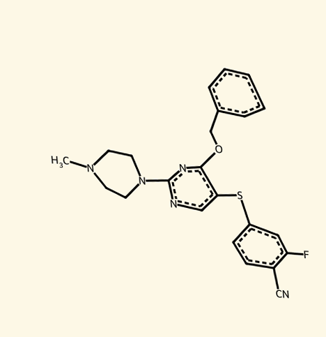 CN1CCN(c2ncc(Sc3ccc(C#N)c(F)c3)c(OCc3ccccc3)n2)CC1